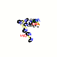 CC1=C(c2cccc[n+]2SCc2ccccn2)CN(C)C(SCc2ccccn2)C1=S.Cc1cc[n+](C)cc1.Cl.Oc1ccc[nH]c1=S.Oc1cccnc1SCc1ccccn1